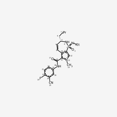 CCN=S1(=O)N[C@@H](CC(C)C)C=Cc2c1cn(C)c2C(=O)Nc1ccc(F)c(C#N)c1